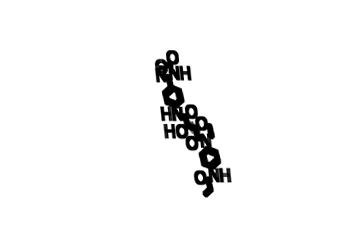 CCC(=O)Nc1ccc(N2CCO[C@H]([C@@H](O)C(=O)Nc3ccc(-c4noc(=O)[nH]4)cc3)C2=O)cc1